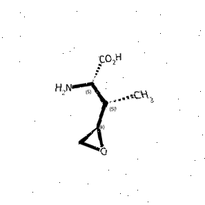 C[C@H]([C@@H]1CO1)[C@H](N)C(=O)O